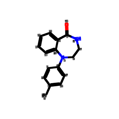 CC(C)c1ccc(N2CCNC(=O)c3ccccc32)cc1